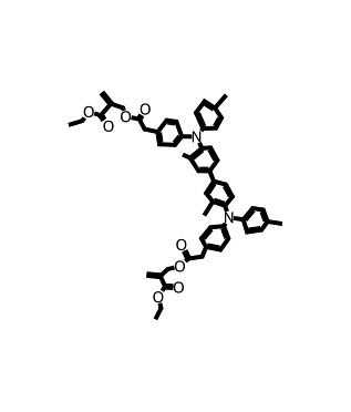 C=C(COC(=O)Cc1ccc(N(c2ccc(C)cc2)c2ccc(-c3ccc(N(c4ccc(C)cc4)c4ccc(CC(=O)OCC(=C)C(=O)OCC)cc4)c(C)c3)cc2C)cc1)C(=O)OCC